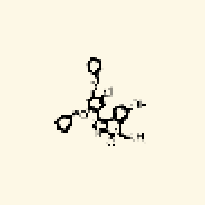 CCNC(=O)c1noc(-c2cc(Cl)c(OCc3ccccc3)cc2OCc2ccccc2)c1-c1ccc(O)cc1